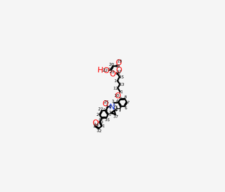 [2H]C1(N(Cc2ccccc2OCCCCCC2OC(=O)C=C(O)O2)C(=O)c2ccc(-c3ccco3)cc2)CC1